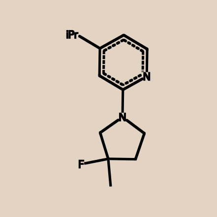 CC(C)c1ccnc(N2CCC(C)(F)C2)c1